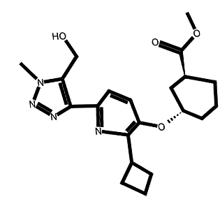 COC(=O)[C@H]1CCC[C@H](Oc2ccc(-c3nnn(C)c3CO)nc2C2CCC2)C1